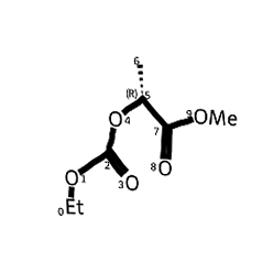 [CH2]COC(=O)O[C@H](C)C(=O)OC